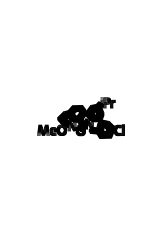 COc1ccc2c(n1)C(C(=O)N(Cc1ccc(Cl)cc1)c1ccc(C(C)C)cc1)CCC2